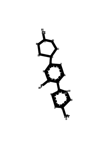 CCCc1ccc(-c2ccc(C3CCC(CC)CC3)cc2F)nc1